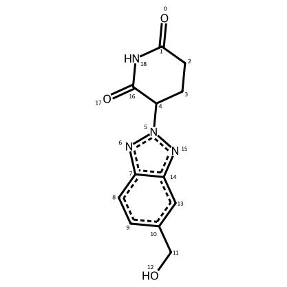 O=C1CCC(n2nc3ccc(CO)cc3n2)C(=O)N1